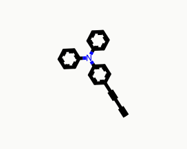 C#CC#Cc1ccc(N(c2ccccc2)c2ccccc2)cc1